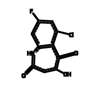 O=c1cc(O)c(=O)c2c(Cl)cc(F)cc2[nH]1